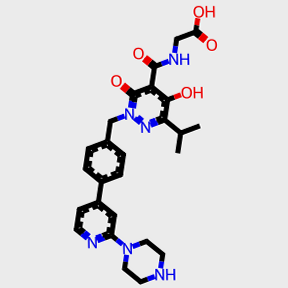 CC(C)c1nn(Cc2ccc(-c3ccnc(N4CCNCC4)c3)cc2)c(=O)c(C(=O)NCC(=O)O)c1O